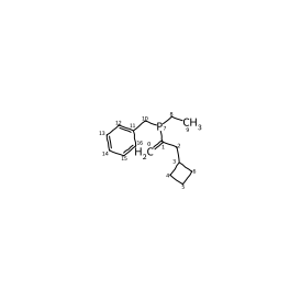 C=C(CC1CCC1)P(CC)Cc1ccccc1